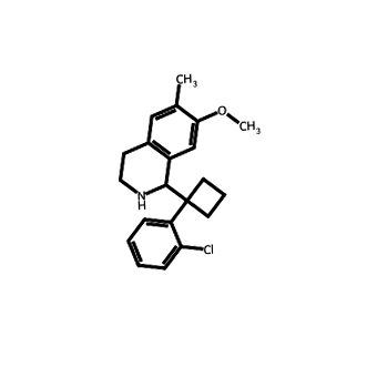 COc1cc2c(cc1C)CCNC2C1(c2ccccc2Cl)CCC1